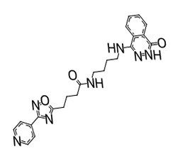 O=C(CCCc1nc(-c2ccncc2)no1)NCCCCNc1n[nH]c(=O)c2ccccc12